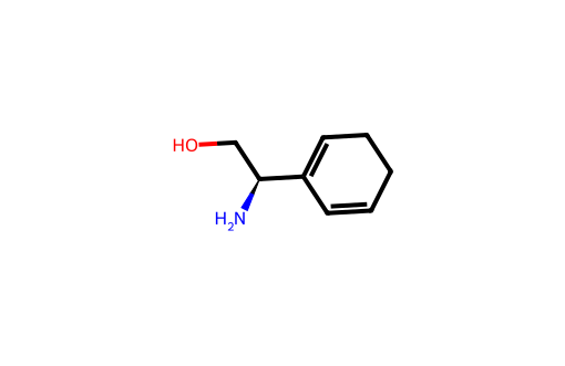 N[C@@H](CO)C1=CCCC=C1